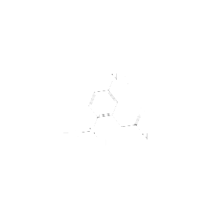 CN(C)c1ccc([N+](=O)[O-])cc1CC(N)=O